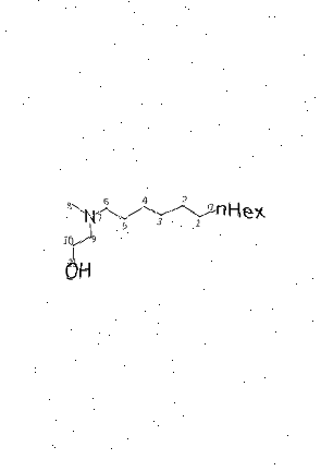 CCCCCCCCCCCCN(C)CCO